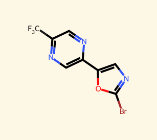 FC(F)(F)c1cnc(-c2cnc(Br)o2)cn1